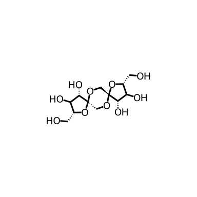 OC[C@H]1O[C@@]2(CO[C@]3(CO2)O[C@H](CO)C(O)[C@@H]3O)[C@@H](O)C1O